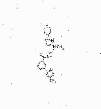 CN(CCNC(=O)c1cccc(-c2noc(C(F)(F)F)n2)c1)c1csc(N2CCOCC2)n1